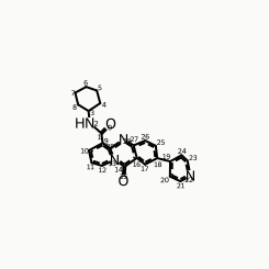 O=C(NC1CCCCC1)c1cccn2c(=O)c3cc(-c4ccncc4)ccc3nc12